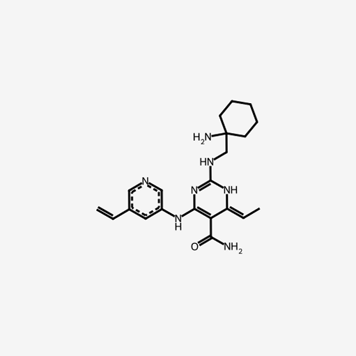 C=Cc1cncc(NC2=C(C(N)=O)C(=CC)NC(NCC3(N)CCCCC3)=N2)c1